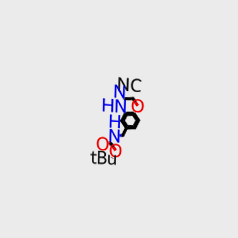 [C-]#[N+]N=C1COc2ccc(CNC(=O)OC(C)(C)C)cc2N1